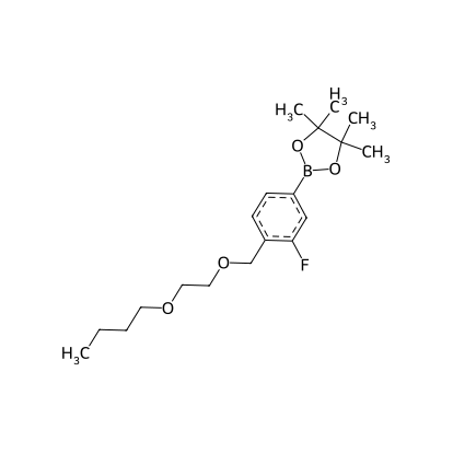 CCCCOCCOCc1ccc(B2OC(C)(C)C(C)(C)O2)cc1F